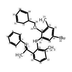 C/C(=N\c1ccccc1)c1cccc(C)c1Pc1cc(C(C)(C)C)cc(C)c1OCC1C=CC=CC1